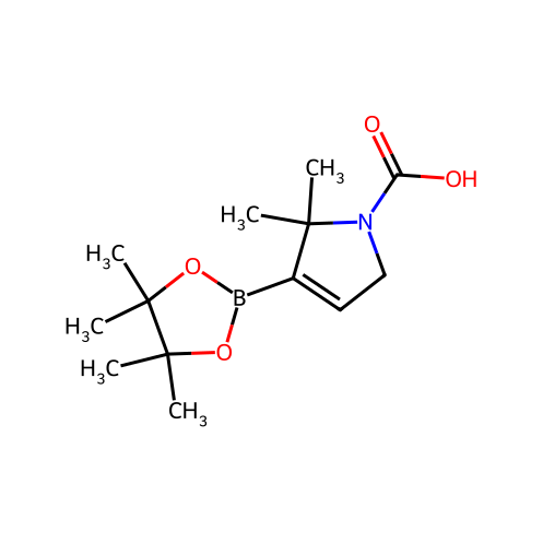 CC1(C)C(B2OC(C)(C)C(C)(C)O2)=CCN1C(=O)O